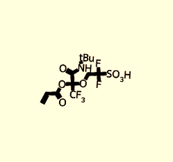 C=CC(=O)OC(OCC(F)(F)S(=O)(=O)O)(C(=O)NC(C)(C)C)C(F)(F)F